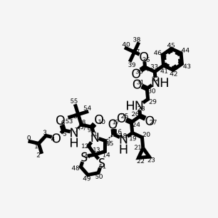 CC(C)COC(=O)N[C@H](C(=O)N1CC2(C[C@H]1C(=O)NC(CC1CC1)C(=O)C(=O)NCC(=O)NC(C(=O)OC(C)(C)C)c1ccccc1)SCCCS2)C(C)(C)C